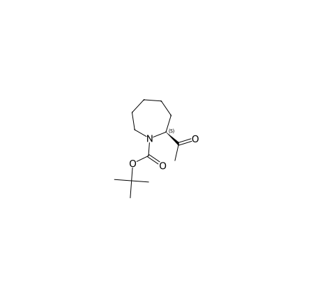 CC(=O)[C@@H]1CCCCCN1C(=O)OC(C)(C)C